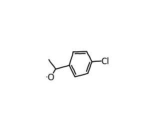 CC([O])c1ccc(Cl)cc1